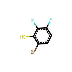 Fc1ccc(Br)c(S)c1F